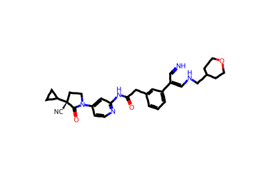 N#C[C@@]1(C2CC2)CCN(c2ccnc(NC(=O)Cc3cccc(/C(C=N)=C/NCC4CCOCC4)c3)c2)C1=O